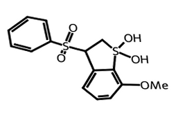 COc1cccc2c1S(O)(O)CC2S(=O)(=O)c1ccccc1